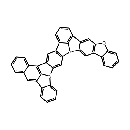 c1ccc2c(c1)cc1c3ccccc3n3c4cc5c(cc4c2c13)c1cccc2c3cc4oc6ccccc6c4cc3n5c21